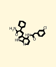 NC(=O)C(=Cc1c[nH]c2nccc(NC(=O)Cc3cccc(Cl)c3)c12)c1ccccc1